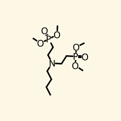 CCCCN(CCP(=O)(OC)OC)CCP(=O)(OC)OC